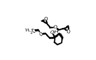 C(OCC1CO1)C1CO1.C=COCCC1(O)CCCCC1